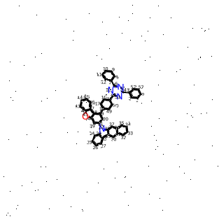 c1ccc(-c2nc(-c3ccccc3)nc(-c3ccc(-c4cc(-n5c6ccccc6c6cc7ccccc7cc65)cc5oc6ccccc6c45)cc3)n2)cc1